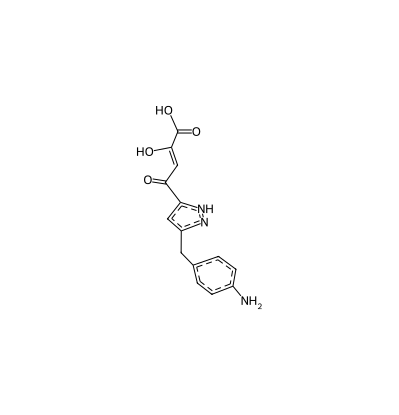 Nc1ccc(Cc2cc(C(=O)C=C(O)C(=O)O)[nH]n2)cc1